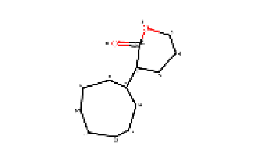 O=C1OCCCC1C1CCCCCCC1